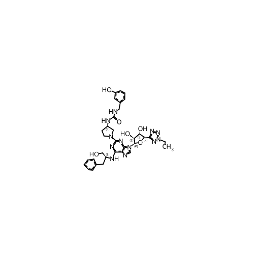 CCn1nnc([C@H]2O[C@@H](n3cnc4c(N[C@H](CO)Cc5ccccc5)nc(N5CC[C@@H](NC(=O)NCc6cccc(O)c6)C5)nc43)[C@@H](O)[C@@H]2O)n1